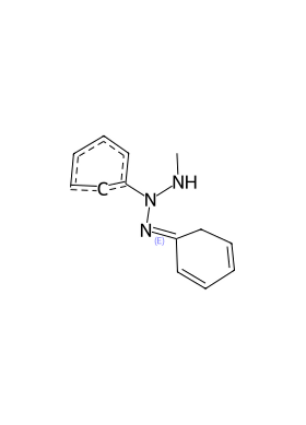 CNN(/N=C1/C=CC=CC1)c1ccccc1